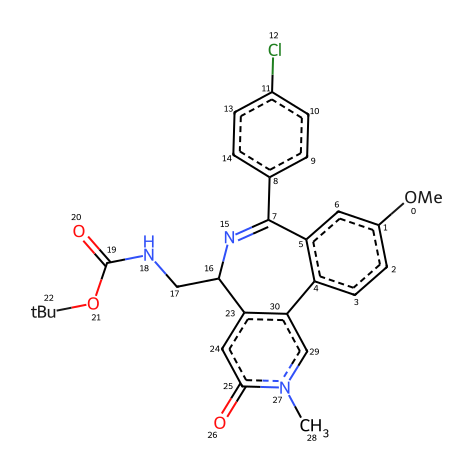 COc1ccc2c(c1)C(c1ccc(Cl)cc1)=NC(CNC(=O)OC(C)(C)C)c1cc(=O)n(C)cc1-2